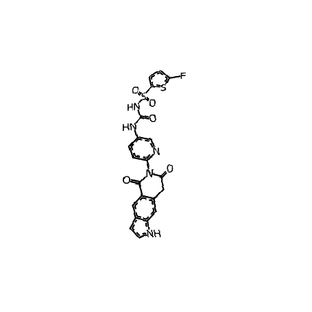 O=C(Nc1ccc(N2C(=O)Cc3cc4[nH]ccc4cc3C2=O)nc1)NS(=O)(=O)c1ccc(F)s1